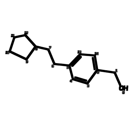 OCc1ccc(CCC2CCCC2)cc1